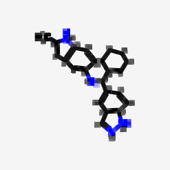 Cc1cc2cc(/N=C(\C3=CCCCC3)c3ccc4[nH]ncc4c3)ccc2[nH]1